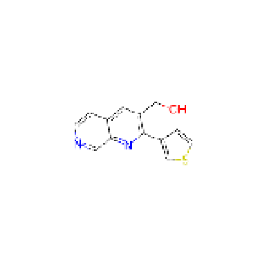 OCc1cc2ccncc2nc1-c1ccsc1